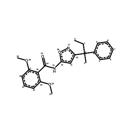 CCC(C)(c1ccccc1)c1cc(NC(=O)c2c(OC)cccc2OC)on1